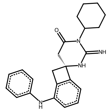 N=C1N[C@]2(CC(=O)N1C1CCCCC1)Cc1c(Nc3ccccc3)cccc12